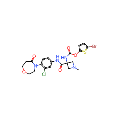 CN1CC(NC(=O)Oc2ccc(Br)s2)(C(=O)Nc2ccc(N3CCOCCC3=O)c(Cl)c2)C1